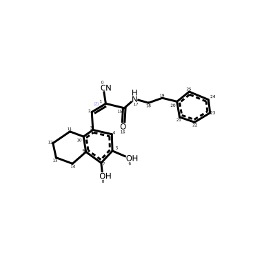 N#C/C(=C/c1cc(O)c(O)c2c1CCCC2)C(=O)NCCc1ccccc1